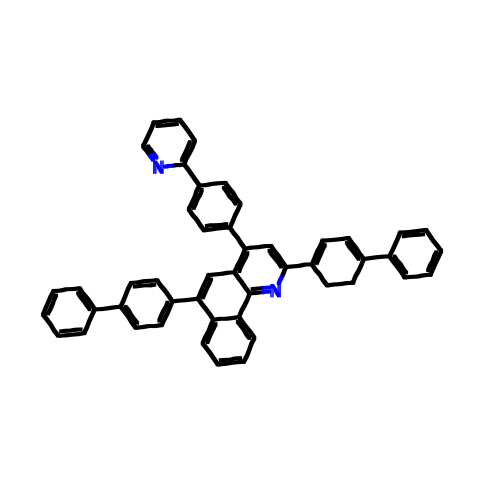 C1=C(c2ccccc2)CCC(c2cc(-c3ccc(-c4ccccn4)cc3)c3cc(-c4ccc(-c5ccccc5)cc4)c4ccccc4c3n2)=C1